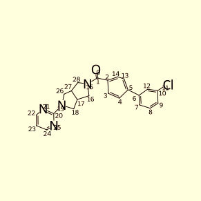 O=C(c1ccc(-c2cccc(Cl)c2)cc1)N1CC2CN(c3ncccn3)CC2C1